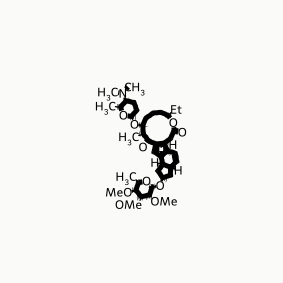 CC[C@H]1CCC[C@H](O[C@H]2CC[C@H](N(C)C)[C@@H](C)O2)[C@@H](C)C(=O)C2=C[C@@H]3[C@@H](C=C[C@@H]4C[C@@H](O[C@@H]5O[C@@H](C)[C@H](OC)[C@@H](OC)[C@H]5OC)C[C@@H]34)[C@@H]2CC(=O)O1